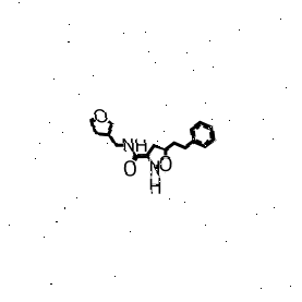 O=C(NCC1CCOC1)C1CC(CCc2ccccc2)ON1